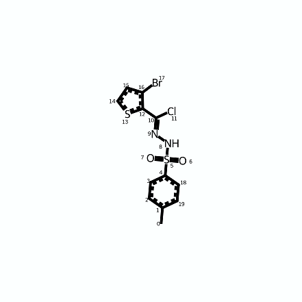 Cc1ccc(S(=O)(=O)N/N=C(\Cl)c2sccc2Br)cc1